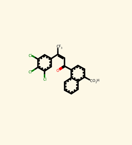 O=C(O)c1ccc(C(=O)C=C(c2cc(Cl)c(Cl)c(Cl)c2)C(F)(F)F)c2ccccc12